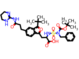 CC(C)(C)OC(=O)N(Cc1ccccc1)S(=O)(=O)NC(Cc1oc(C(C)(C)C)c2cc(CCC(=O)NC3=NCCCN3)ccc12)C(=O)O